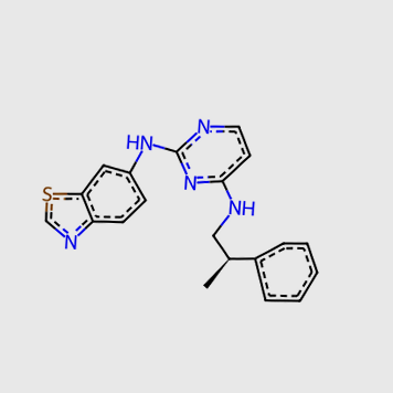 C[C@@H](CNc1ccnc(Nc2ccc3ncsc3c2)n1)c1ccccc1